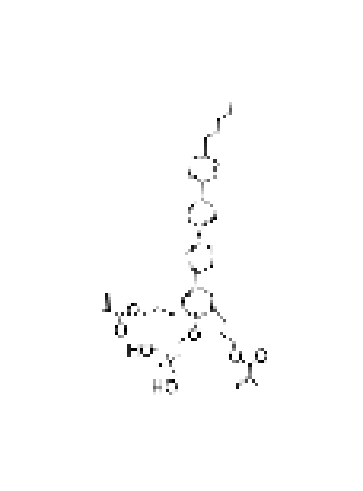 C=C(C)C(=O)OCCCc1cc(-c2ccc(C3=CCC(c4ccc(CCCCC)cc4)C=C3)cc2)cc(CCCOC(=O)C(=C)C)c1OCCC(C)(CO)CO